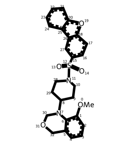 COc1cccc2c1N(C1CCN(S(=O)(=O)c3ccc4oc5ccccc5c4c3)CC1)COC2